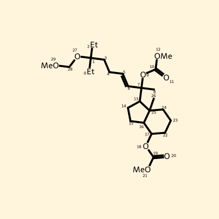 CCC(CC)(CCC=CC(C)(OC(=O)OC)C1CCC2C(OC(=O)OC)CCCC21C)OCOC